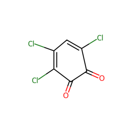 O=C1C(=O)C(Cl)=C(Cl)C=C1Cl